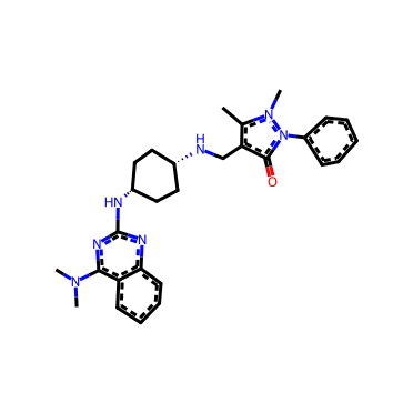 Cc1c(CN[C@H]2CC[C@@H](Nc3nc(N(C)C)c4ccccc4n3)CC2)c(=O)n(-c2ccccc2)n1C